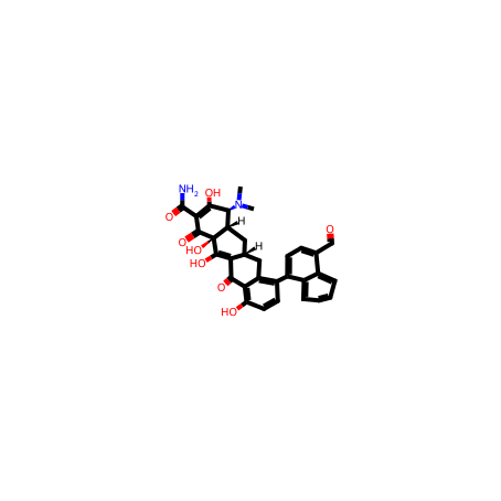 CN(C)[C@@H]1C(O)=C(C(N)=O)C(=O)[C@@]2(O)C(O)=C3C(=O)c4c(O)ccc(-c5ccc(C=O)c6ccccc56)c4C[C@H]3C[C@@H]12